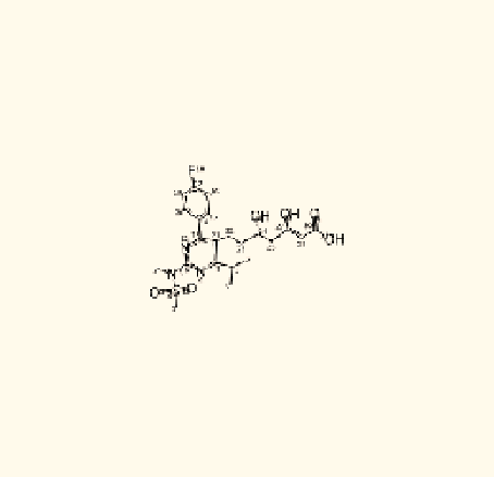 CC(C)c1nc(N(C)S(C)(=O)=O)nc(-c2ccc(F)cc2)c1CC[C@H](O)CC(O)=CC(=O)O